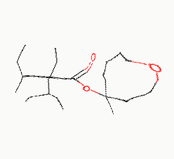 CC(C)C(C)(C(=O)OC1(C)CCOCC1)C(C)C